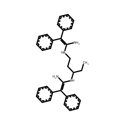 CCC(BC(N)=C(c1ccccc1)c1ccccc1)CCBC(N)=C(c1ccccc1)c1ccccc1